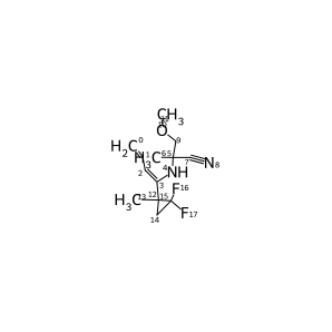 C=C/C=C(\NC(C)(C#N)COC)C1(C)CC1(F)F